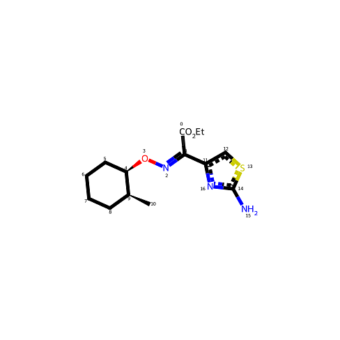 CCOC(=O)/C(=N\O[C@@H]1CCCC[C@@H]1C)c1csc(N)n1